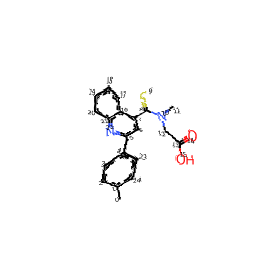 Cc1ccc(-c2cc(C(=S)N(C)CC(=O)O)c3ccccc3n2)cc1